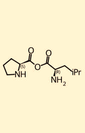 CC(C)C[C@@H](N)C(=O)OC(=O)[C@@H]1CCCN1